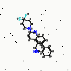 FC1(F)CCN(c2ccc3c4c(ccc3n2)C2=C(CCC=C2)NC4)CC1